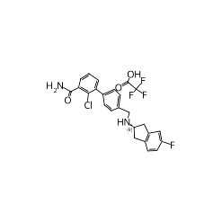 NC(=O)c1cccc(-c2ccc(CN[C@@H]3Cc4ccc(F)cc4C3)cc2)c1Cl.O=C(O)C(F)(F)F